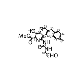 COC(=O)c1nc(NC(=O)NCC=O)c2cc(Cc3ccc(F)cc3)cnc2c1O